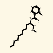 CCCCCCCCCC(COC)OC(=O)c1ccccc1C